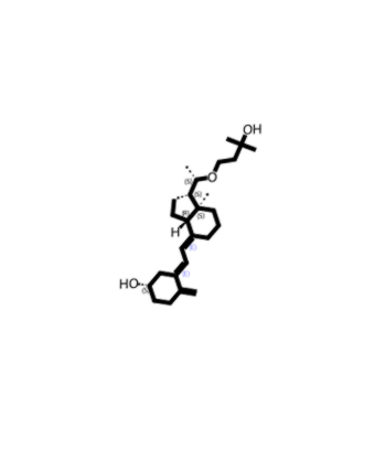 C=C1CC[C@H](O)C/C1=C\C=C1/CCC[C@]2(C)[C@@H]([C@H](C)OCCC(C)(C)O)CC[C@@H]12